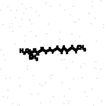 CCCCCCCCCCCCCN(C)C